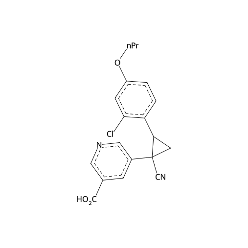 CCCOc1ccc(C2CC2(C#N)c2cncc(C(=O)O)c2)c(Cl)c1